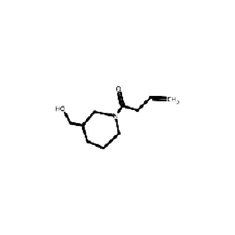 C=CCC(=O)N1CCCC(CO)C1